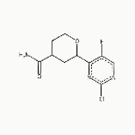 NC(=O)C1CCOC(c2nc(Cl)ncc2F)C1